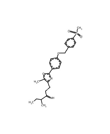 CCC(C)C(=N)CCc1nc(-c2ccc(OCc3ccc(S(C)(=O)=O)cc3)cc2)oc1C